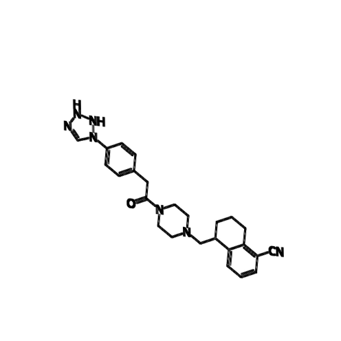 N#Cc1cccc2c1CCCC2CN1CCN(C(=O)Cc2ccc(N3C=NNN3)cc2)CC1